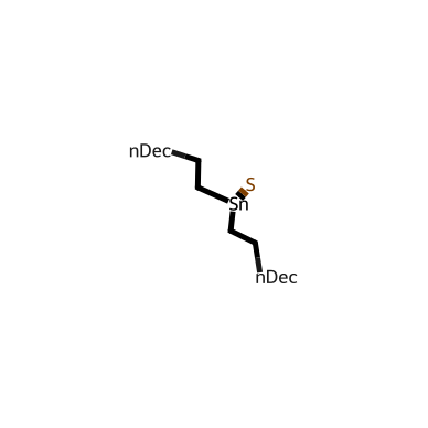 CCCCCCCCCCC[CH2][Sn](=[S])[CH2]CCCCCCCCCCC